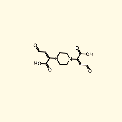 O=CC=C(C(=O)O)N1CCN(C(=CC=O)C(=O)O)CC1